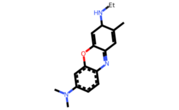 CCNC1C=C2Oc3cc(N(C)C)ccc3N=C2C=C1C